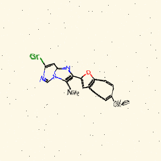 CNc1c(-c2cc3cc(OC)ccc3o2)nc2cc(Br)ncn12